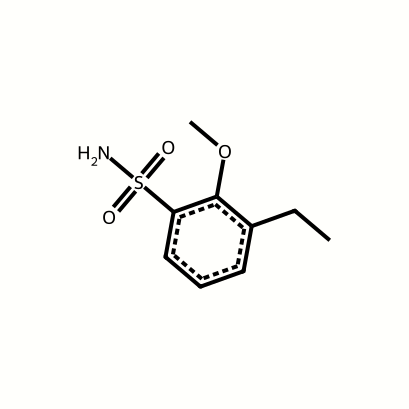 CCc1cccc(S(N)(=O)=O)c1OC